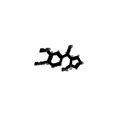 COc1cc(C(=O)c2cncn2C(C)C)ccc1SC